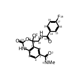 CNC(=O)c1ccc2c(c1)C(CNC(=O)c1ccc(F)cc1)(C(F)(F)F)OC(=O)N2